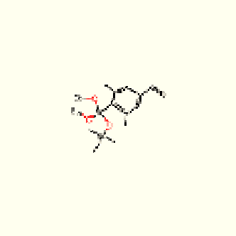 C=Cc1cc(C)c([Si](OCC)(OCC)O[Si](C)(C)C)c(C)c1